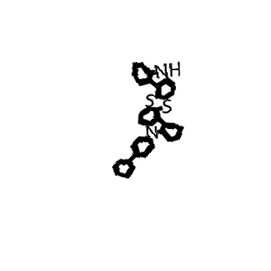 c1ccc(-c2ccc(-n3c4ccccc4c4c5c(ccc43)Sc3c(ccc4[nH]c6ccccc6c34)S5)cc2)cc1